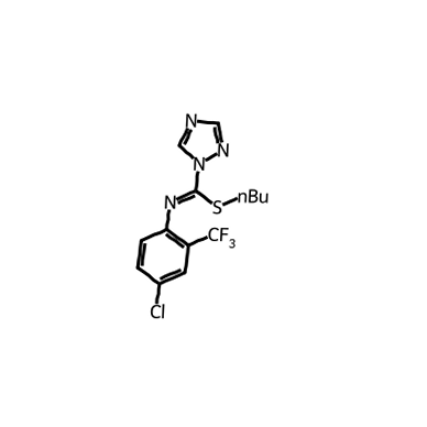 CCCCSC(=Nc1ccc(Cl)cc1C(F)(F)F)n1cncn1